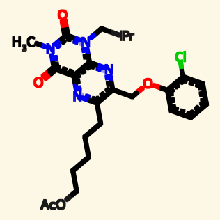 CC(=O)OCCCCCc1nc2c(=O)n(C)c(=O)n(CC(C)C)c2nc1COc1ccccc1Cl